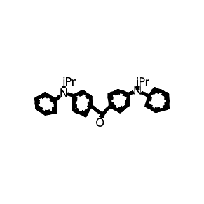 CC(C)N(c1ccccc1)c1ccc(C(=O)c2ccc(N(c3ccccc3)C(C)C)cc2)cc1